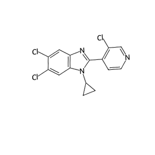 Clc1cc2nc(-c3ccncc3Cl)n(C3CC3)c2cc1Cl